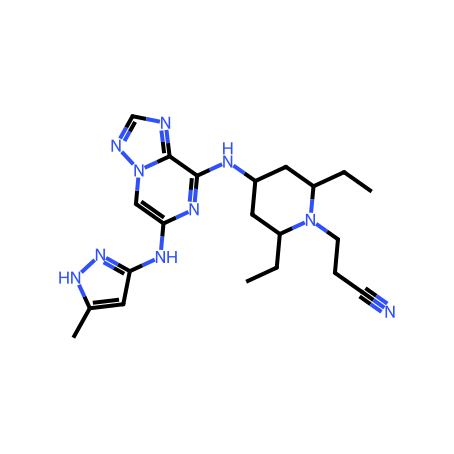 CCC1CC(Nc2nc(Nc3cc(C)[nH]n3)cn3ncnc23)CC(CC)N1CCC#N